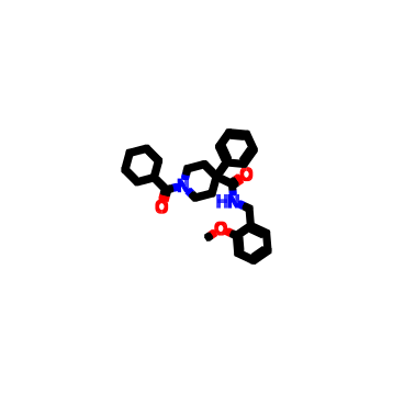 COc1ccccc1CNC(=O)C1(c2ccccc2)CCN(C(=O)C2CCCCC2)CC1